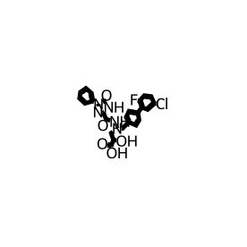 O=C(NN(Cc1ccc(-c2cc(Cl)ccc2F)cc1)CC(O)C(=O)O)c1nn(-c2ccccc2)c(=O)[nH]1